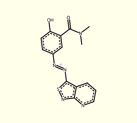 CN(C)C(=O)c1cc(/N=N/c2snc3ncccc23)ccc1O